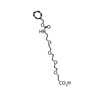 O=C(O)CCOCCOCCOCCOCCNC(=O)OCc1ccccc1